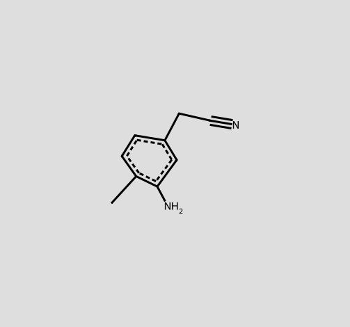 Cc1ccc(CC#N)cc1N